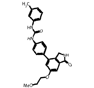 COCCOc1cc2c(c(-c3ccc(NC(=O)Nc4cccc(C)c4)cc3)c1)CNC2=O